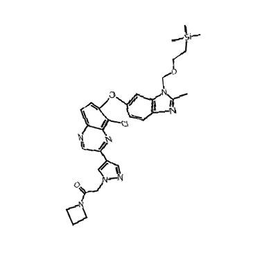 Cc1nc2ccc(Oc3ccc4ncc(-c5cnn(CC(=O)N6CCC6)c5)nc4c3Cl)cc2n1COCC[Si](C)(C)C